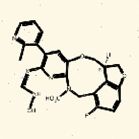 Cc1ncccc1-c1cc2c(nc1/N=C\NO)N(C(=O)O)Cc1c(F)ccc3c1[C@@H](CO2)CO3